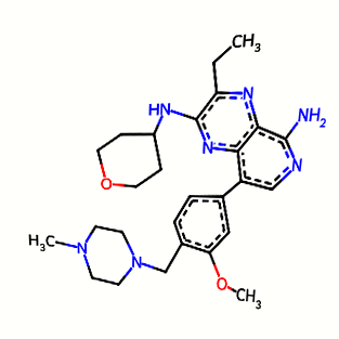 CCc1nc2c(N)ncc(-c3ccc(CN4CCN(C)CC4)c(OC)c3)c2nc1NC1CCOCC1